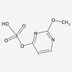 COc1nccc(OS(=O)(=O)O)n1